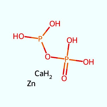 O=P(O)(O)OP(O)O.[CaH2].[Zn]